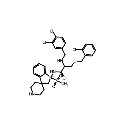 CS(=O)(=O)[N+]1(NC(=O)C(COCc2ccccc2Cl)NCc2ccc(Cl)c(Cl)c2)CC2(CCNCC2)c2ccccc21